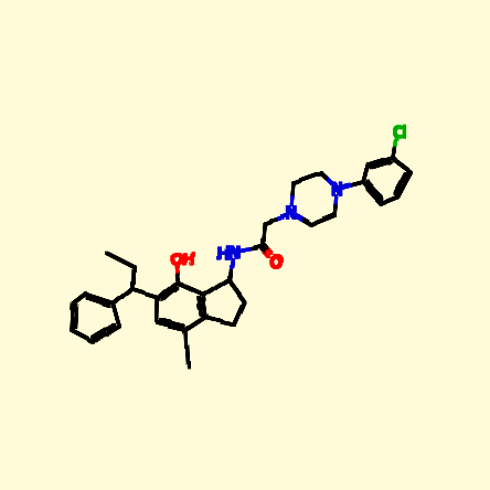 CCC(c1ccccc1)c1cc(C)c2c(c1O)C(NC(=O)CN1CCN(c3cccc(Cl)c3)CC1)CC2